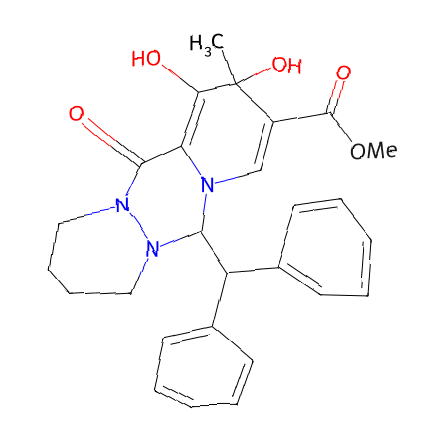 COC(=O)C1=CN2C(=C(O)C1(C)O)C(=O)N1CCCCN1C2C(c1ccccc1)c1ccccc1